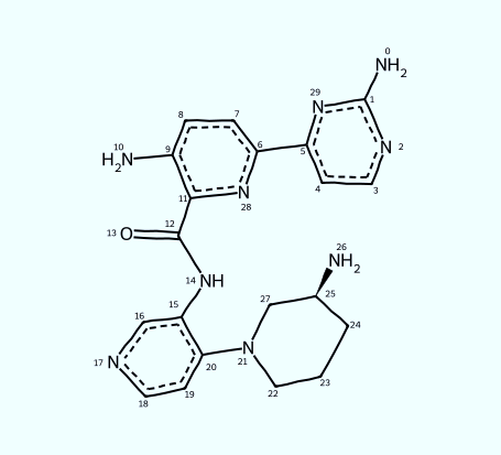 Nc1nccc(-c2ccc(N)c(C(=O)Nc3cnccc3N3CCC[C@H](N)C3)n2)n1